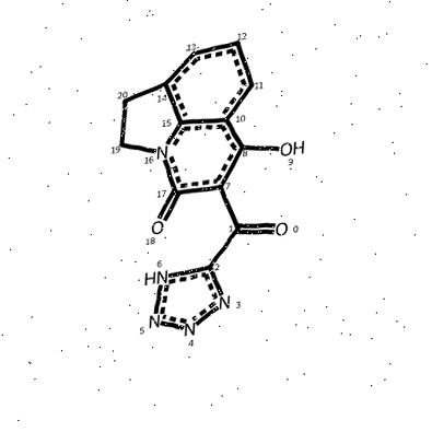 O=C(c1nnn[nH]1)c1c(O)c2cccc3c2n(c1=O)CC3